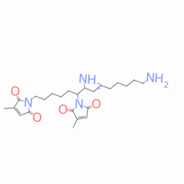 CC1=CC(=O)N(CCCCCC(C(N)CCCCCCCN)N2C(=O)C=C(C)C2=O)C1=O